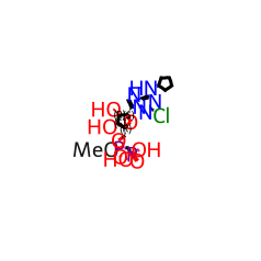 COP(=O)(CP(=O)(O)O)OC[C@H]1O[C@@H](c2cnc3c(NC4CCCC4)nc(Cl)nn23)[C@H](O)[C@@H]1O